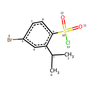 CC(C)c1cc(Br)ccc1S(=O)(=O)Cl